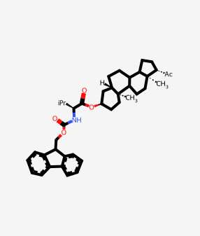 CC(=O)[C@H]1CCC2C3CC[C@H]4C[C@H](OC(=O)[C@@H](NC(=O)OCC5c6ccccc6-c6ccccc65)C(C)C)CC[C@]4(C)C3CC[C@@]21C